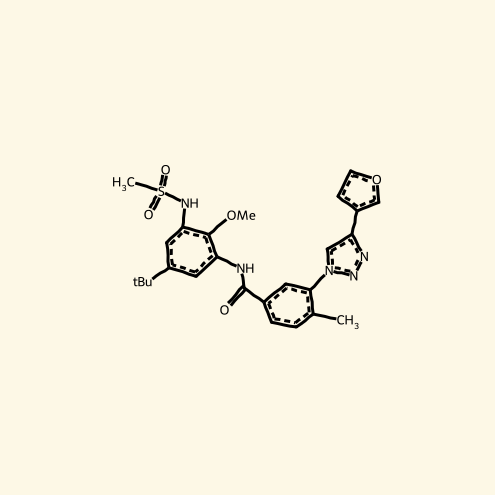 COc1c(NC(=O)c2ccc(C)c(-n3cc(-c4ccoc4)nn3)c2)cc(C(C)(C)C)cc1NS(C)(=O)=O